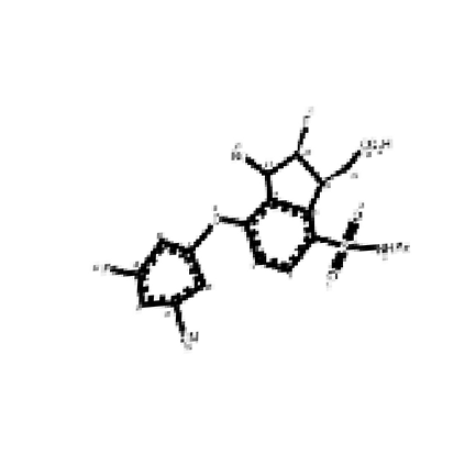 CC(=O)NS(=O)(=O)c1ccc(Oc2cc(F)cc(C#N)c2)c2c1[C@H](CC(=O)O)[C@H](F)C2Br